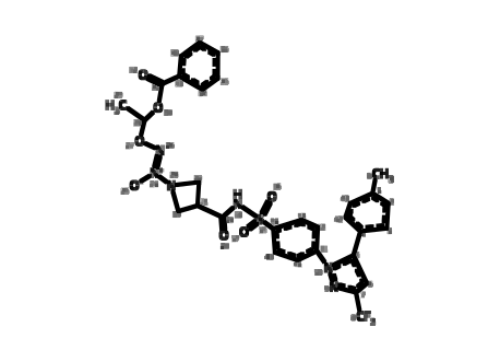 Cc1ccc(-c2cc(C(F)(F)F)nn2-c2ccc(S(=O)(=O)NC(=O)C3CN([N+]([O-])=NOC(C)OC(=O)c4ccccc4)C3)cc2)cc1